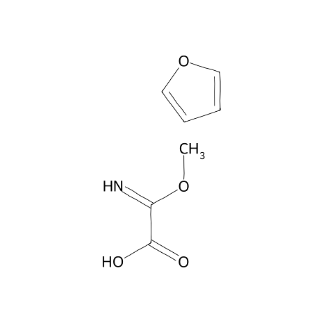 COC(=N)C(=O)O.c1ccoc1